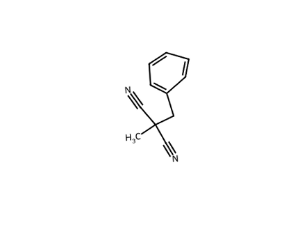 CC(C#N)(C#N)Cc1ccccc1